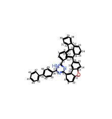 c1ccc(C2=NC(c3cccc4oc5ccc(-c6ccc7c8c(cccc68)-c6ccccc6-7)cc5c34)=NC(c3ccc(-c4ccccc4)cc3)N2)cc1